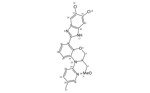 COCC1COc2c(-c3nc4cc(Cl)c(Cl)cc4[nH]3)cccc2N1c1ccc(C)cn1